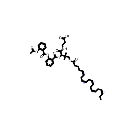 CC/C=C\C/C=C\C/C=C\C/C=C\C/C=C\CCCC(=O)OCC(C)(C)C(OC(=O)c1ccccc1OC(=O)c1ccccc1OC(C)=O)C(=O)NCCC(=O)O